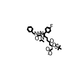 COC(=O)C[C@@H](CC(=O)CCc1c(-c2ccc(F)cc2)nc(C(=O)NCc2ccccc2)n1C(C)C)O[Si](C)(C)C(C)(C)C